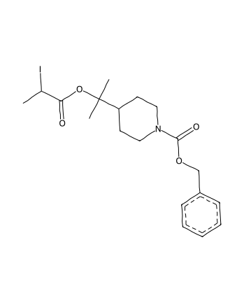 CC(I)C(=O)OC(C)(C)C1CCN(C(=O)OCc2ccccc2)CC1